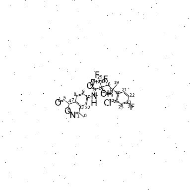 CC1=NOC(C=O)c2ccc(NC(=O)C(O)(CC(C)(C)c3ccc(F)cc3Cl)C(F)(F)F)cc21